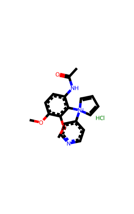 COc1ccc(NC(C)=O)c([N+]2(c3ccncc3)C=CC=C2)c1OC.Cl